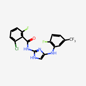 O=C(Nc1nc(Nc2cc(C(F)(F)F)ccc2F)c[nH]1)c1c(F)cccc1Cl